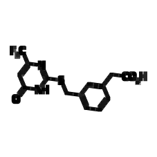 O=C(O)Cc1cccc(CSc2nc(C(F)(F)F)cc(=O)[nH]2)c1